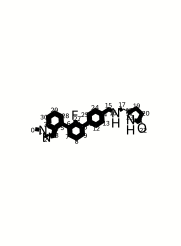 Cn1ncc2c(-c3cccc(-c4ccc(CNC[C@@H]5CCC(=O)N5)cc4)c3F)cccc21